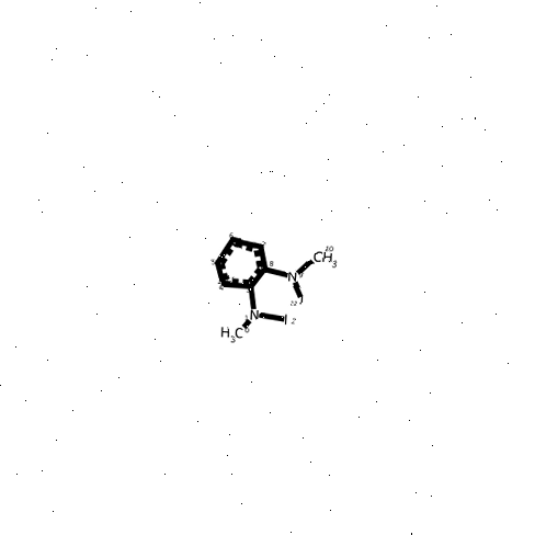 CN(I)c1[c]cccc1N(C)I